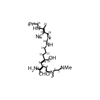 CNCCN(C)CCC(/C=C(\CO)CCCNC/N=C\C(C#N)=C(/C)NCC(C)C)=C(/N)C=O